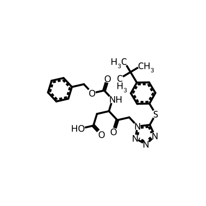 CC(C)(C)c1ccc(Sc2nnnn2CC(=O)C(CC(=O)O)NC(=O)OCc2ccccc2)cc1